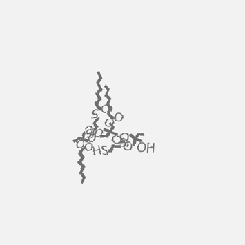 CCCCCCCC(=O)OCC(CC)(CO[Si]1(CCCS)OCC(CC)(CO)CO1)CO[Si]1(CCCSC(=O)CCCCCCC)OCC(CC)(OC(=O)CCCCCCC)CO1